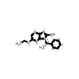 CCOc1cnc2nc(O)n([C@@H](C)c3ccccc3)c2n1